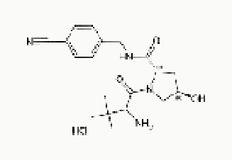 CC(C)(C)C(N)C(=O)N1C[C@H](O)C[C@H]1C(=O)NCc1ccc(C#N)cc1.Cl